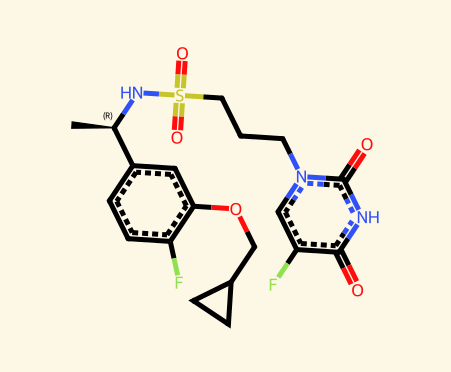 C[C@@H](NS(=O)(=O)CCCn1cc(F)c(=O)[nH]c1=O)c1ccc(F)c(OCC2CC2)c1